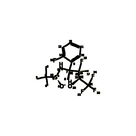 CC(C)(C)[S@@+]([O-])N[C@](C)(c1ccccc1F)[C@@](C)(F)[C@H](O)C(F)(F)F